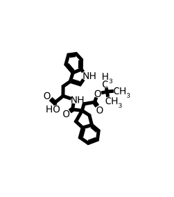 CC(C)(C)OC(=O)CC1(C(=O)NC(Cc2c[nH]c3ccccc23)C(=O)O)Cc2ccccc2C1